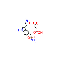 CN(C)CCc1c[nH]c2ccc(CS(N)(=O)=O)cc12.O=C(O)CCC(=O)O